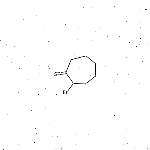 [CH2]CC1CCCCCC1=S